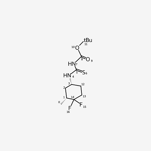 C[C@@H]1C[C@H](NC(=S)NC(=O)OC(C)(C)C)CCC1(F)F